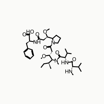 CC[C@H](C)[C@@H]([C@@H](CC(=O)N1CCCC1[C@@H](CC(=O)N[C@@H](Cc1ccccc1)C(=O)O)OC)OC)N(C)C(=O)[C@@H](NC(=O)[C@@H](NC)C(C)C)C(C)C